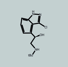 CC(C)(C)NC[C@H](O)c1cccc2[nH]nc(Cl)c12